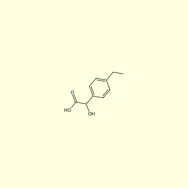 CCc1ccc(C(O)C(=O)O)cc1